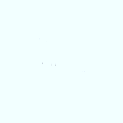 CCc1cc(Nc2ccc(C(C)=O)cc2N)c(OC)cc1OC